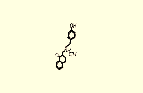 Cl.O=C1c2ccccc2CCC1CNCCc1ccc(O)cc1